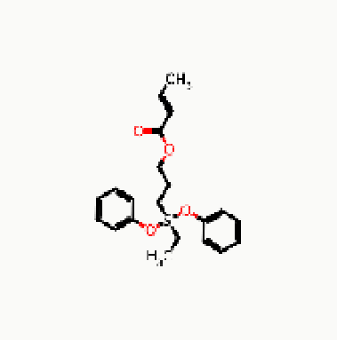 CC=CC(=O)OCCC[Si](CC)(Oc1ccccc1)Oc1ccccc1